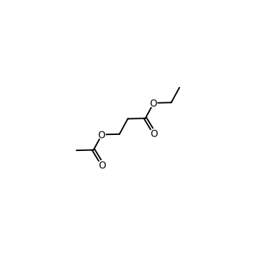 CCOC(=O)CCOC(C)=O